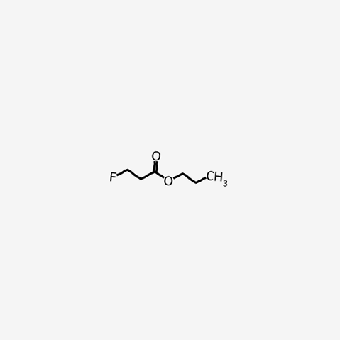 CCCOC(=O)CCF